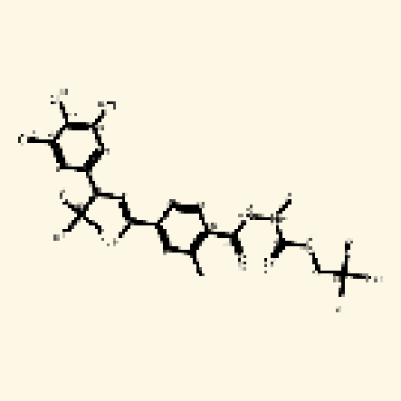 Cc1cc(/C(F)=C/C(c2cc(Cl)c(Cl)c(Cl)c2)C(F)(F)F)ccc1C(=O)NN(C)C(=O)NCC(F)(F)F